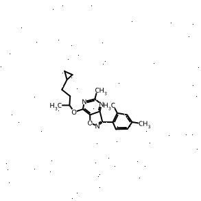 Cc1ccc(-c2noc3c(OC(C)CCC4CC4)nc(C)nc23)c(C)c1